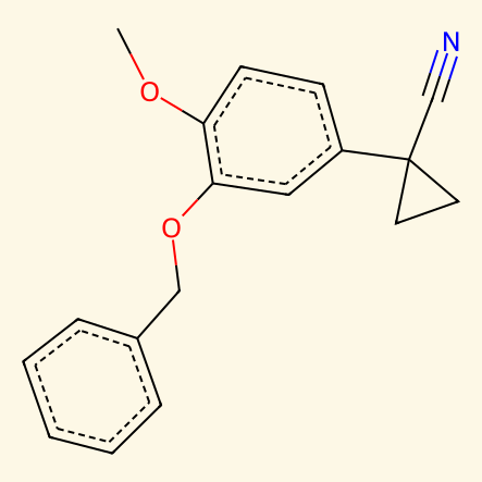 COc1ccc(C2(C#N)CC2)cc1OCc1ccccc1